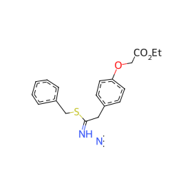 CCOC(=O)COc1ccc(CC(=N)SCc2ccccc2)cc1.[N]